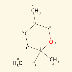 CCC1(C)CCC(C)CO1